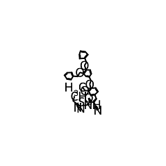 CCc1nnc(NC(=O)C(C#N)=Cc2ccc(OCc3ccc(OCc4ccccc4)c(OCc4ccccc4)c3)c(OC)c2)s1